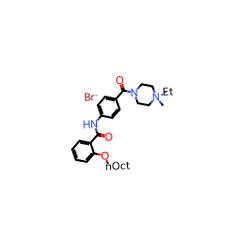 CCCCCCCCOc1ccccc1C(=O)Nc1ccc(C(=O)N2CC[N+](C)(CC)CC2)cc1.[Br-]